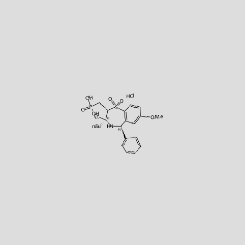 CCCC[C@@]1(CC)N[C@H](c2ccccc2)c2cc(OC)ccc2S(=O)(=O)C1CP(=O)(O)O.Cl